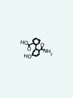 NC(=O)c1ccc(O)cc1-c1ccccc1C(=O)O